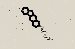 FC(F)(F)OOSOc1ccc2cc3c(cc2c1)Cc1ccccc1-3